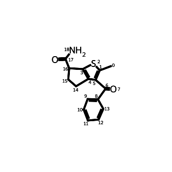 Cc1sc2c(c1C(=O)c1ccccc1)CCC2C(N)=O